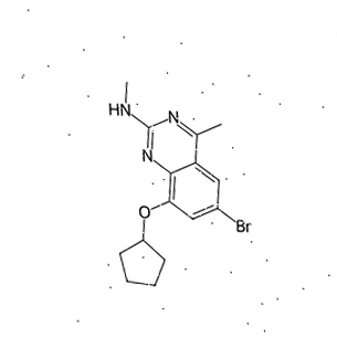 CNc1nc(C)c2cc(Br)cc(OC3CCCC3)c2n1